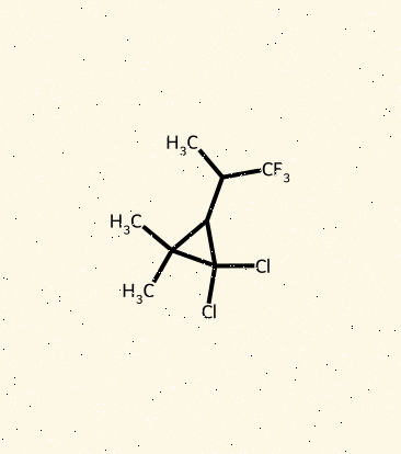 CC(C1C(C)(C)C1(Cl)Cl)C(F)(F)F